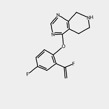 C=C(F)c1cc(F)ccc1Oc1ncnc2c1CCNC2